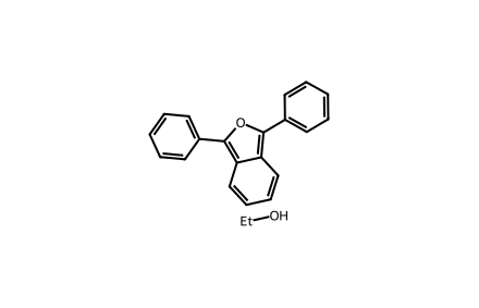 CCO.c1ccc(-c2oc(-c3ccccc3)c3ccccc23)cc1